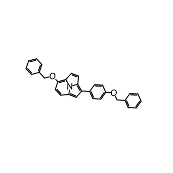 c1ccc(COc2ccc(-c3cc4ccc(OCc5ccccc5)c5ccc3n45)cc2)cc1